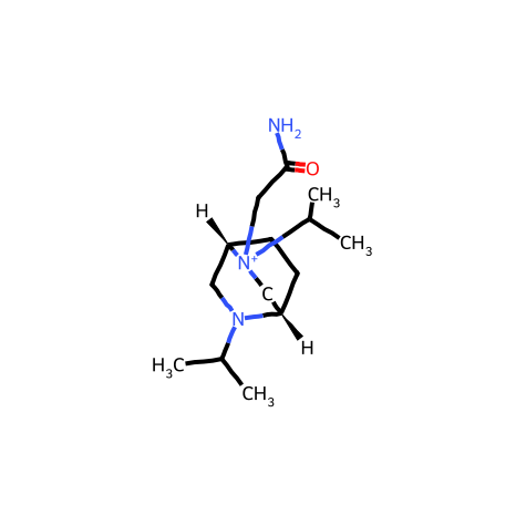 CC(C)N1C[C@@H]2CC[C@H]1C[N+]2(CC(N)=O)C(C)C